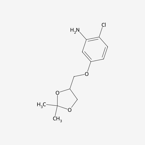 CC1(C)OCC(COc2ccc(Cl)c(N)c2)O1